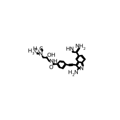 CCN(CC)CC(O)CNC(=O)c1ccc(C#Cc2c(N)ncc3ccc(/C(C=N)=C/N)cc23)cc1